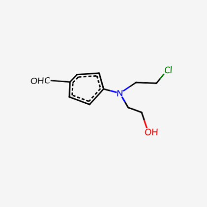 O=Cc1ccc(N(CCO)CCCl)cc1